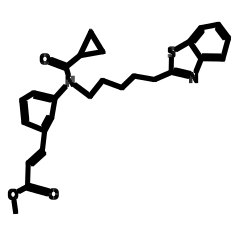 COC(=O)/C=C/c1cccc(N(CCCCCc2nc3ccccc3s2)C(=O)C2CC2)c1